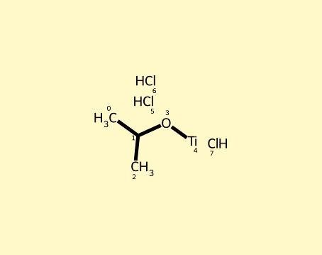 CC(C)[O][Ti].Cl.Cl.Cl